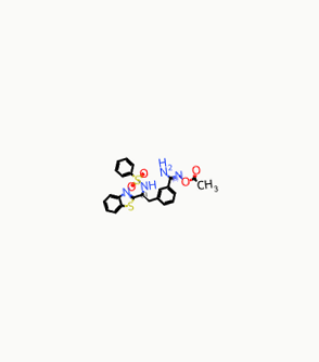 CC(=O)O/N=C(/N)c1cccc(C[C@H](NS(=O)(=O)c2ccccc2)c2nc3ccccc3s2)c1